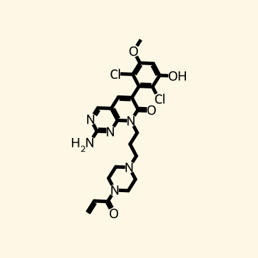 C=CC(=O)N1CCN(CCCn2c(=O)c(-c3c(Cl)c(O)cc(OC)c3Cl)cc3cnc(N)nc32)CC1